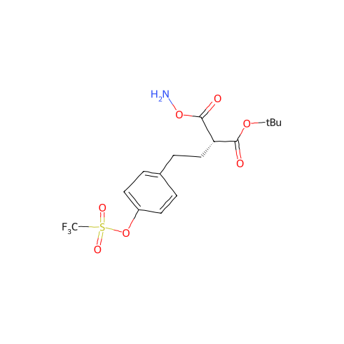 CC(C)(C)OC(=O)[C@H](CCc1ccc(OS(=O)(=O)C(F)(F)F)cc1)C(=O)ON